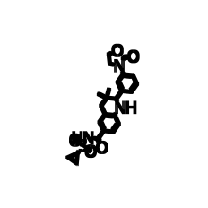 CC1(C)Cc2cc(C(=O)NS(=O)(=O)C3CC3)ccc2NC1c1cccc(N2CCOC2=O)c1